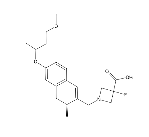 COCCC(C)Oc1ccc2c(c1)C[C@H](C)C(CN1CC(F)(C(=O)O)C1)=C2